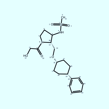 CS(=O)(=O)NC1CCN(C(=O)CO)[C@H]1CO[C@H]1CC[C@@H](c2ccccc2)CC1